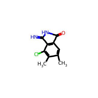 Cc1cc2c(c(Cl)c1C)C(=N)NC2=O